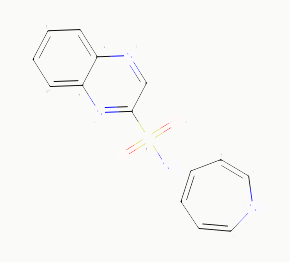 C1=CC=CNC=C1.NS(=O)(=O)c1cnc2ccccc2n1